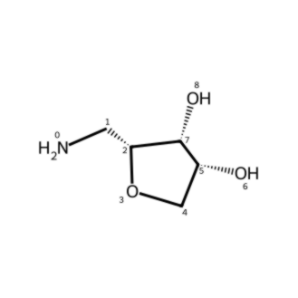 NC[C@H]1OC[C@@H](O)[C@H]1O